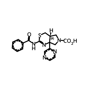 O=C(NC1=NC2(c3cnccn3)CN(C(=O)O)C[C@H]2CS1)c1ccccc1